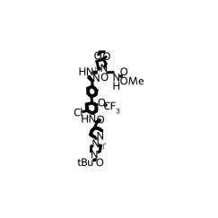 COC(=O)NCC(=O)N1CC2(C[C@H]1c1nc(-c3ccc(-c4cc(Cl)c(NC(=O)c5ccc(N6CCN(C(=O)C(C)(C)C)C[C@H]6C)nc5)cc4OC(F)(F)F)cc3)c[nH]1)OCCO2